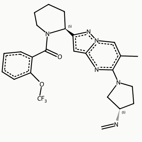 C=N[C@H]1CCN(c2nc3cc([C@@H]4CCCCN4C(=O)c4ccccc4OC(F)(F)F)nn3cc2C)C1